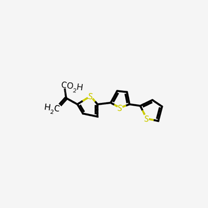 C=C(C(=O)O)c1ccc(-c2ccc(-c3cccs3)s2)s1